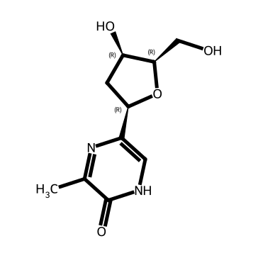 Cc1nc([C@H]2C[C@@H](O)[C@@H](CO)O2)c[nH]c1=O